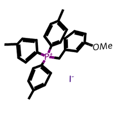 COc1cccc(C[P+](c2ccc(C)cc2)(c2ccc(C)cc2)c2ccc(C)cc2)c1.[I-]